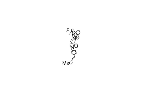 COC/C=C/c1ccc(N2CCC3(CCN(S(=O)(=O)c4ccccc4OC(F)(F)F)CC3)C2=O)cc1